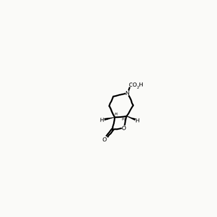 O=C1O[C@H]2CN(C(=O)O)CC[C@@H]12